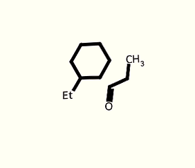 CCC1CCCCC1.CCC=O